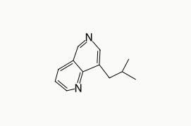 CC(C)Cc1cncc2cccnc12